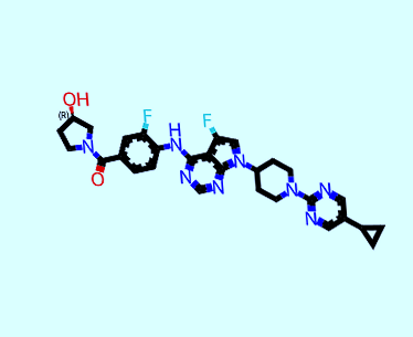 O=C(c1ccc(Nc2ncnc3c2c(F)cn3C2CCN(c3ncc(C4CC4)cn3)CC2)c(F)c1)N1CC[C@@H](O)C1